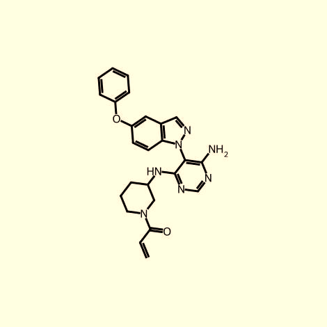 C=CC(=O)N1CCCC(Nc2ncnc(N)c2-n2ncc3cc(Oc4ccccc4)ccc32)C1